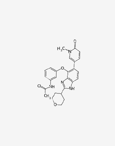 CC(=O)Nc1cccc(Oc2c(-c3ccc(=O)n(C)c3)ccc3[nH]c(C4CCOCC4)nc23)c1